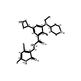 CCN(c1cc(C2CNC2)cc(C(=O)NCc2c(C)cc(C)[nH]c2=O)c1C)C1CCOCC1